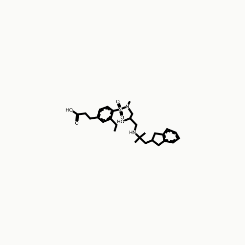 CCc1cc(CCC(=O)O)ccc1S(=O)(=O)N(C)CC(O)CNC(C)(C)CC1Cc2ccccc2C1